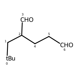 CC(C)(C)CC(C=O)CCC=O